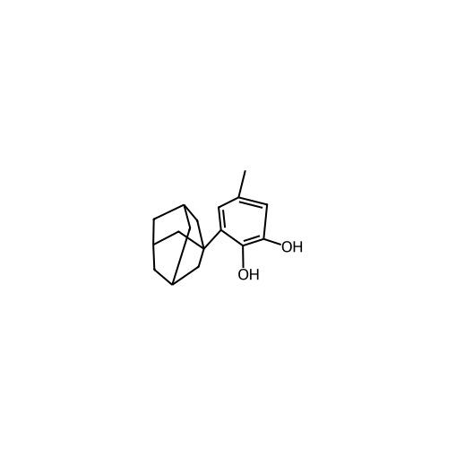 Cc1cc(O)c(O)c(C23CC4CC(CC(C4)C2)C3)c1